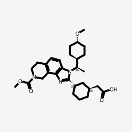 COC(=O)N1CCc2ccc3c(nc([C@H]4CCC[C@H](CC(=O)O)C4)n3[C@H](C)[C@H]3CC[C@H](OC)CC3)c2C1